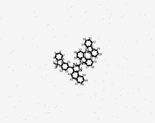 CC1(C)c2ccccc2-c2cc(-c3nc(-n4c5ccccc5c5c(-n6c7ccccc7c7ccccc76)cccc54)nc4c3ccc3ccccc34)ccc21